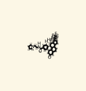 C[C@]12C[C@H](c3ccc(C(=O)NCCN4CCCC4)cc3)C3=C4CCC(=O)C=C4CCC3C1CC[C@]2(O)C(F)(F)C(F)(F)F